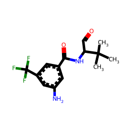 CC(C)(C)C(C=O)NC(=O)c1cc(N)cc(C(F)(F)F)c1